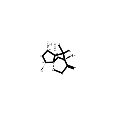 C=C1CC[C@@]23C[C@@H]1C(C)(C)[C@@H]2[C@@H](O)C[C@H]3C